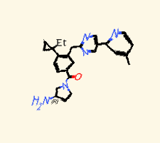 CCC1(c2ccc(C(=O)N3CC[C@@H](N)C3)cc2Cc2ncc(-c3cc(C)ccn3)cn2)CC1